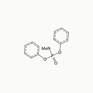 CNP(=O)(Oc1ccccc1)Oc1ccccc1